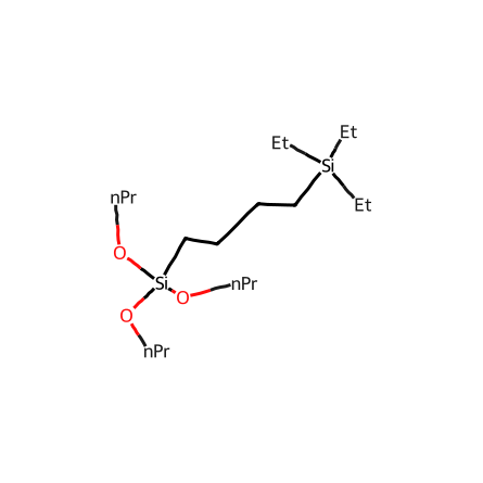 CCCO[Si](CCCC[Si](CC)(CC)CC)(OCCC)OCCC